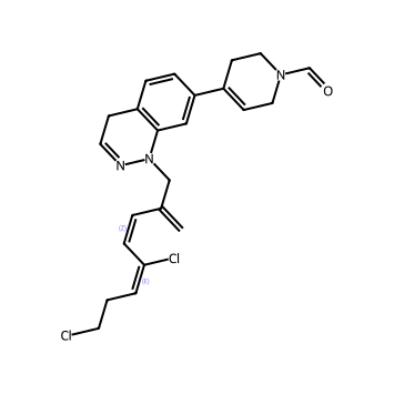 C=C(/C=C\C(Cl)=C/CCCl)CN1N=CCc2ccc(C3=CCN(C=O)CC3)cc21